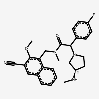 CN[C@@H]1CCN(C(C(=O)N(C)Cc2c(OC)c(C#N)cc3ccccc23)c2ccc(F)cc2)C1